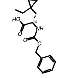 CCC1(C[C@H](NC(=O)OCc2ccccc2)C(=O)O)CC1